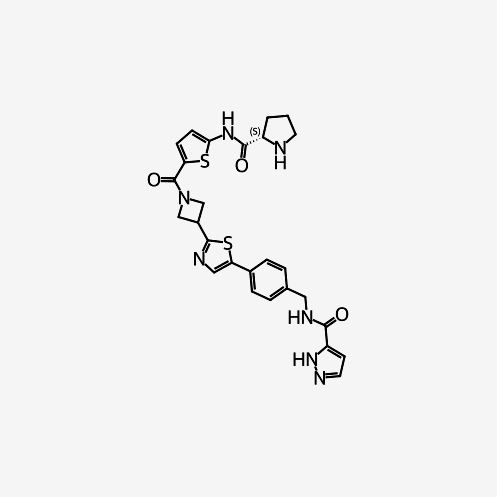 O=C(NCc1ccc(-c2cnc(C3CN(C(=O)c4ccc(NC(=O)[C@@H]5CCCN5)s4)C3)s2)cc1)c1ccn[nH]1